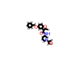 Cc1oc2ccc(OCc3ccccc3)cc2c1C(=O)N[C@@H]1CCCN(C2COC2)C1